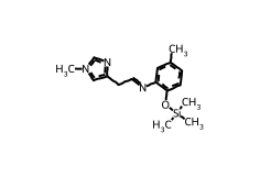 Cc1ccc(O[Si](C)(C)C)c(N=CCc2cn(C)cn2)c1